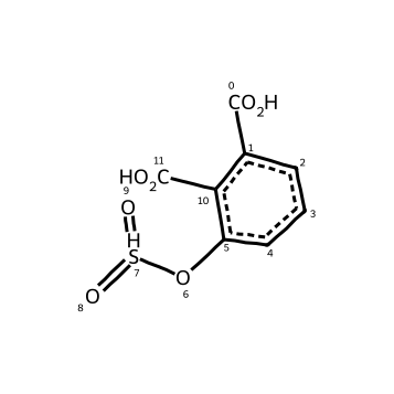 O=C(O)c1cccc(O[SH](=O)=O)c1C(=O)O